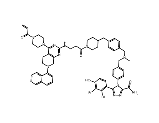 C=CC(=O)N1CCN(c2nc(NCCC(=O)N3CCC(Cc4ccc(CN(C)Cc5ccc(-n6c(C(N)=O)nnc6-c6ccc(O)c(C(C)C)c6O)cc5)cc4)CC3)nc3c2CCN(c2cccc4ccccc24)C3)CC1